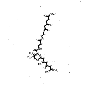 COC(=O)CCC(=O)CC(=O)SCCNC(=O)CCNC(=O)[C@@H]1OC(CC(O)CC(O)CC(C)O)OCC1(C)C